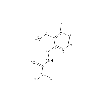 Cc1ccnc(CNC(=O)C(C)C)c1CO